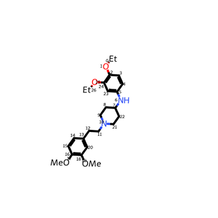 CCOc1ccc(NC2CCN(CCc3ccc(OC)c(OC)c3)CC2)cc1OCC